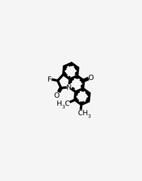 Cc1ccc2c(=O)c3cccc4c3n(c2c1C)C(=O)C4F